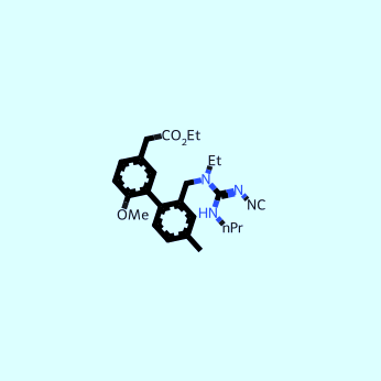 [C-]#[N+]/N=C(\NCCC)N(CC)Cc1cc(C)ccc1-c1cc(CC(=O)OCC)ccc1OC